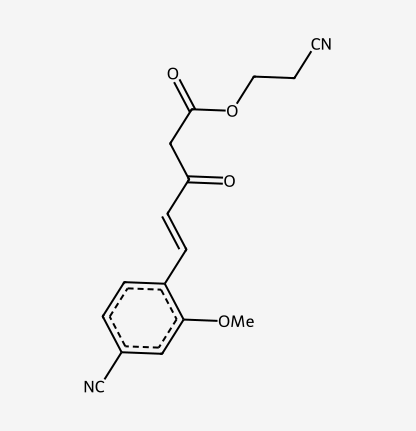 COc1cc(C#N)ccc1C=CC(=O)CC(=O)OCCC#N